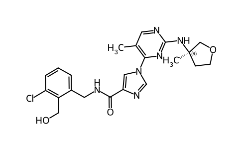 Cc1cnc(N[C@]2(C)CCOC2)nc1-n1cnc(C(=O)NCc2cccc(Cl)c2CO)c1